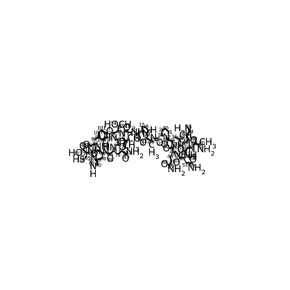 CC(C)C[C@H](NC(=O)[C@@H](NC(=O)CNC(=O)[C@@H]1CCCN1C(=O)[C@H](C)NC(=O)[C@@H]1CCCN1C(=O)[C@H](CC(C)C)NC(=O)[C@H](CCC(N)=O)NC(=O)[C@H](CC(N)=O)NC(=O)[C@H](CCCCN)NC(=O)[C@H](C)N)[C@@H](C)O)C(=O)N[C@@H](CCC(N)=O)C(=O)N[C@@H](Cc1c[nH]cn1)C(=O)N[C@@H](Cc1ccccc1)C(=O)N[C@@H](CS)C(=O)O